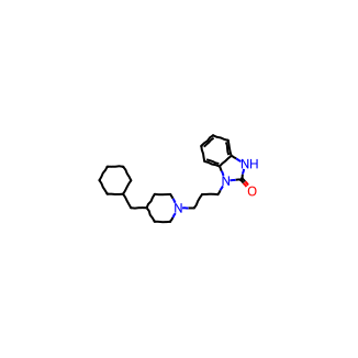 O=c1[nH]c2ccccc2n1CCCN1CCC(CC2CCCCC2)CC1